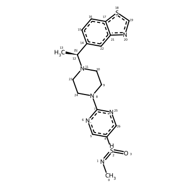 CN=[SH](=O)c1cnc(N2CCN([C@@H](C)c3ccc4scnc4c3)CC2)nc1